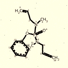 C=CCN(C)P(=O)(Oc1ccccc1)N(C)CC=C